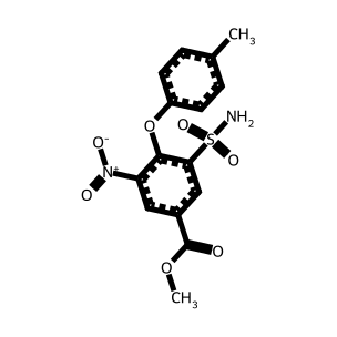 COC(=O)c1cc([N+](=O)[O-])c(Oc2ccc(C)cc2)c(S(N)(=O)=O)c1